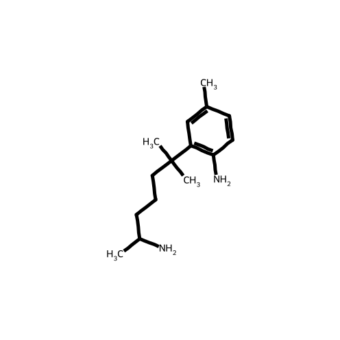 Cc1ccc(N)c(C(C)(C)CCCC(C)N)c1